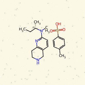 CC[C@H](C)N(C)c1ccc2c(n1)CCNC2.Cc1ccc(S(=O)(=O)O)cc1